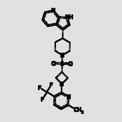 Cc1ccc(C(F)(F)F)c(N2CC(S(=O)(=O)N3CCC(c4c[nH]c5ncccc45)CC3)C2)n1